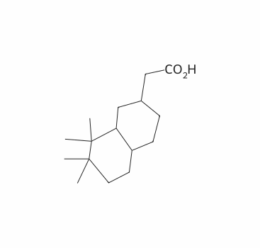 CC1(C)CCC2CCC(CC(=O)O)CC2C1(C)C